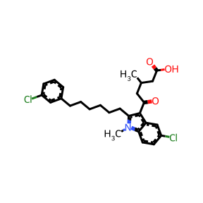 CC(CC(=O)O)CC(=O)c1c(CCCCCCc2cccc(Cl)c2)n(C)c2ccc(Cl)cc12